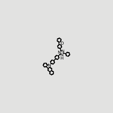 c1ccc(C2=NC(c3ccc4c(c3)oc3ccccc34)=NC(c3ccc(-c4ccc(-n5c6ccccc6c6cc7ccccc7cc65)cc4)cc3)N2)cc1